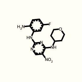 Nc1ccc(F)cc1Nc1ncc([N+](=O)[O-])c(NC2CCOCC2)n1